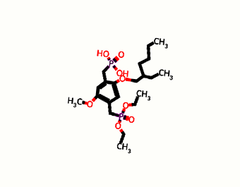 CCCCC(CC)COc1cc(CP(=O)(OCC)OCC)c(OC)cc1CP(=O)(O)O